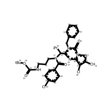 Cc1nn2c(=O)n(Cc3ccccc3)c(C(C(C)C)N(CCCNC(=O)OC(C)(C)C)C(=O)c3ccc(Cl)cc3)nc2c1Cl